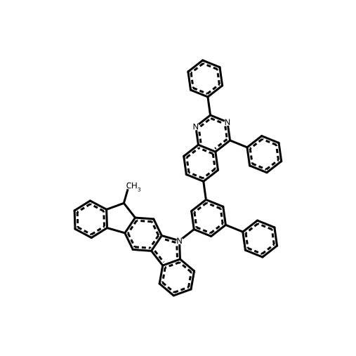 CC1c2ccccc2-c2cc3c4ccccc4n(-c4cc(-c5ccccc5)cc(-c5ccc6nc(-c7ccccc7)nc(-c7ccccc7)c6c5)c4)c3cc21